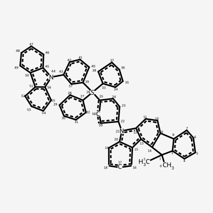 CC1(C)c2ccccc2-c2ccc3c(c21)c1ccccc1n3-c1ccc(S(c2ccccc2)(c2ccccc2)c2cccc(-n3c4ccccc4c4ccccc43)c2)cc1